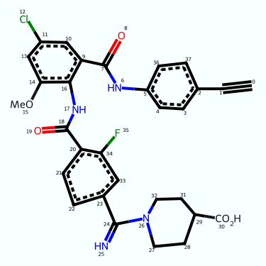 C#Cc1ccc(NC(=O)c2cc(Cl)cc(OC)c2NC(=O)c2ccc(C(=N)N3CCC(C(=O)O)CC3)cc2F)cc1